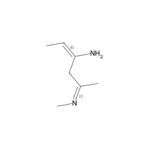 C/C=C(/N)C/C(C)=N\C